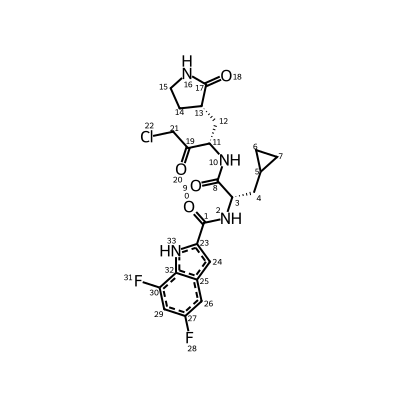 O=C(N[C@@H](CC1CC1)C(=O)N[C@@H](C[C@@H]1CCNC1=O)C(=O)CCl)c1cc2cc(F)cc(F)c2[nH]1